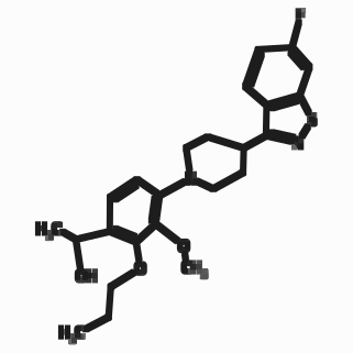 CCCOc1c(C(C)O)ccc(N2CCC(c3nsc4cc(F)ccc34)CC2)c1OC